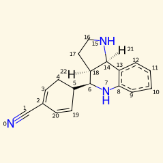 N#CC1=CCC([C@@H]2Nc3ccccc3[C@@H]3NCC[C@@H]32)C=C1